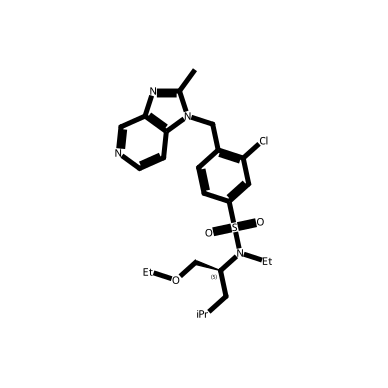 CCOC[C@H](CC(C)C)N(CC)S(=O)(=O)c1ccc(Cn2c(C)nc3cnccc32)c(Cl)c1